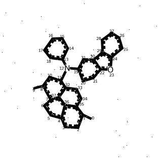 Cc1ccc2ccc3c(C)cc(N(c4ccccc4)c4ccc5oc6ccccc6c5c4)c4ccc1c2c34